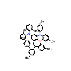 CC(C)(C)c1ccc(-c2cc(C(C)(C)C)ccc2C2Cc3cc(N(c4ccccc4C(C)(C)C)c4ccccc4C(C)(C)C)cc4c3B(c3cc(C(C)(C)C)ccc32)c2cc(C(C)(C)C)ccc2N4c2ccc(C(C)(C)C)cc2)cc1